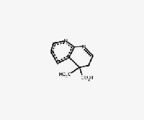 O=C(O)C1(C(=O)O)CC=Nc2ncccc21